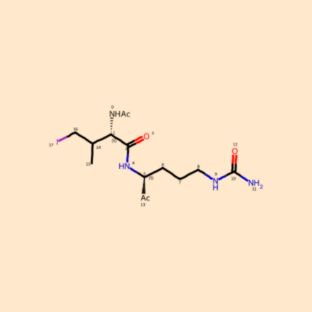 CC(=O)N[C@H](C(=O)N[C@@H](CCCNC(N)=O)C(C)=O)C(C)CI